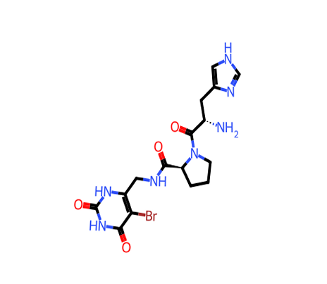 N[C@@H](Cc1c[nH]cn1)C(=O)N1CCC[C@H]1C(=O)NCc1[nH]c(=O)[nH]c(=O)c1Br